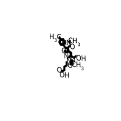 CNC(=O)c1c(-c2ccc(C)cc2)oc2nc(N(CCCCC(=O)O)S(C)(=O)=O)c(CCO)cc12